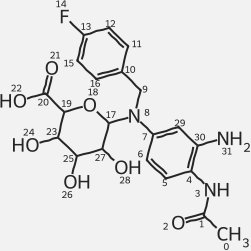 CC(=O)Nc1ccc(N(Cc2ccc(F)cc2)C2OC(C(=O)O)C(O)C(O)C2O)cc1N